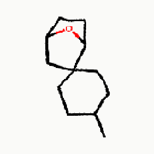 CC1CCC2(CC1)CC1CCC2O1